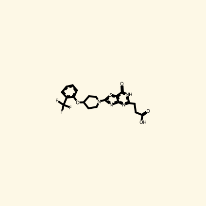 O=C(O)CCc1nc2nc(N3CCC(Oc4ccccc4C(F)(F)F)CC3)sc2c(=O)[nH]1